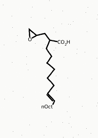 CCCCCCCCC=CCCCCCCC(CC1CO1)C(=O)O